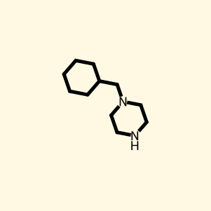 C1CCC(CN2CCNCC2)CC1